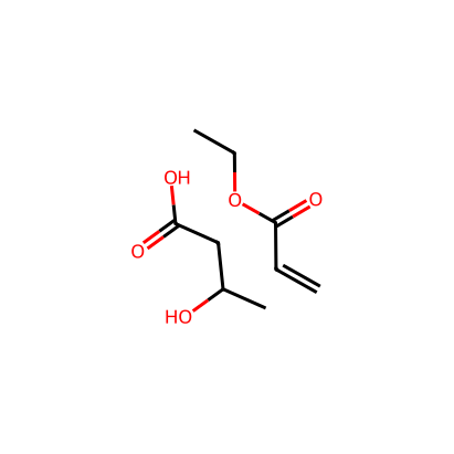 C=CC(=O)OCC.CC(O)CC(=O)O